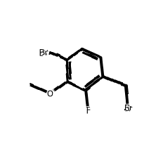 COc1c(Br)ccc(CBr)c1F